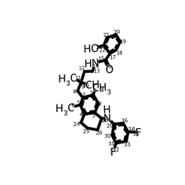 Cc1cc2c(c(C)c1CC(C)(C)CCNC(=O)c1ccccc1O)CCCC2Nc1cc(F)cc(F)c1